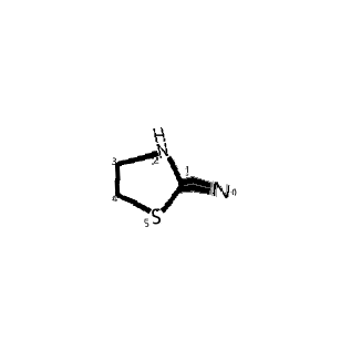 [N]=C1NCCS1